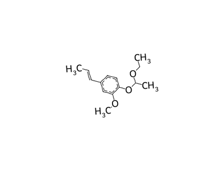 CC=Cc1ccc(OC(C)OCC)c(OC)c1